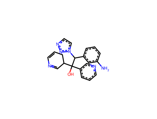 Nc1cccc(C(n2ccnn2)C(O)(c2cccnc2)C2C=NC=CC2)c1